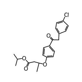 CC(C)OC(=O)CC(C)Oc1ccc(C(=O)Cc2ccc(Cl)cc2)cc1